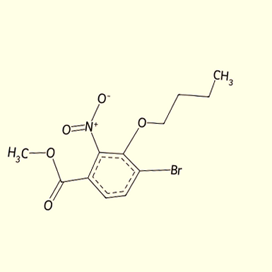 CCCCOc1c(Br)ccc(C(=O)OC)c1[N+](=O)[O-]